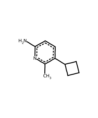 Cc1nc(N)ccc1C1CCC1